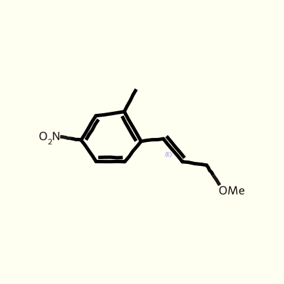 COC/C=C/c1ccc([N+](=O)[O-])cc1C